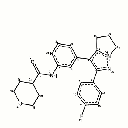 O=C(Nc1cc(-c2c(-c3ccc(F)cc3)nn3c2CCC3)ccn1)C1CCOCC1